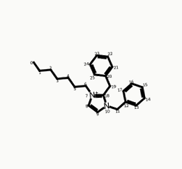 CCCCCCC[n+]1ccn(Cc2ccccc2)c1Cc1ccccc1